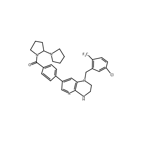 O=C(c1ccc(-c2cnc3c(c2)N(Cc2cc(Cl)ccc2C(F)(F)F)CCN3)cc1)N1CCCC1N1CCCC1